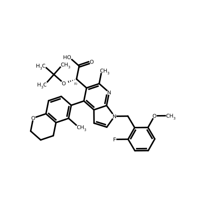 COc1cccc(F)c1Cn1ccc2c(-c3ccc4c(c3C)CCCO4)c([C@H](OC(C)(C)C)C(=O)O)c(C)nc21